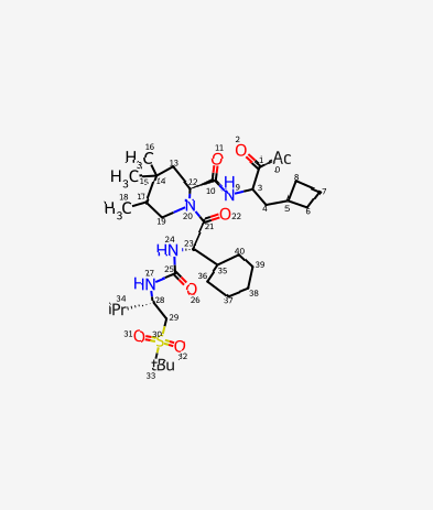 CC(=O)C(=O)C(CC1CCC1)NC(=O)[C@@H]1CC(C)(C)C(C)CN1C(=O)[C@@H](NC(=O)N[C@H](CS(=O)(=O)C(C)(C)C)C(C)C)C1CCCCC1